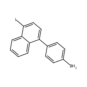 Bc1ccc(-c2ccc(I)c3ccccc23)cc1